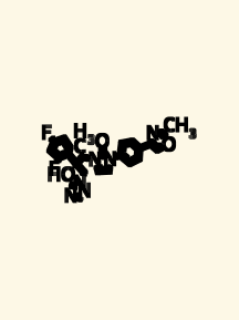 Cc1nc(-c2ccc(-n3ccn([C@H](C)[C@](O)(Cn4cncn4)c4ccc(F)cc4F)c3=O)cc2)co1